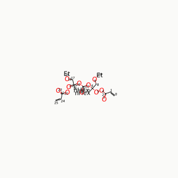 C=CC(=O)OOC(CCCCCC)(COCC)OC(=O)OC(CCCCCC)(COCC)OOC(=O)C=C